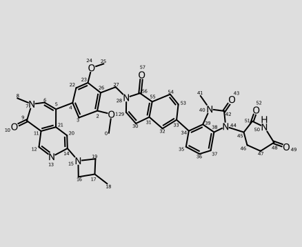 COc1cc(-c2cn(C)c(=O)c3cnc(N4CC(C)C4)cc23)cc(OC)c1Cn1ccc2cc(-c3cccc4c3n(C)c(=O)n4C3CCC(=O)NC3=O)ccc2c1=O